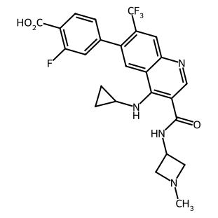 CN1CC(NC(=O)c2cnc3cc(C(F)(F)F)c(-c4ccc(C(=O)O)c(F)c4)cc3c2NC2CC2)C1